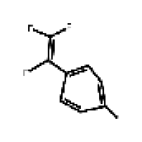 Cc1ccc(C(F)=C(F)F)cc1